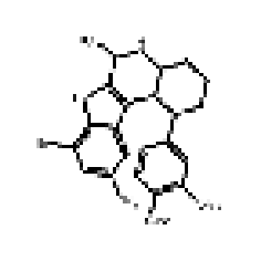 COc1ccc(C2CCCC3NC(C)c4[nH]c5c(Br)cc(C)cc5c4C32)cc1OC